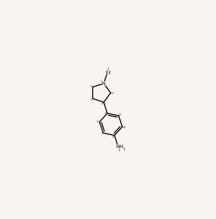 CCN1CCC(c2ccc(N)cc2)C1